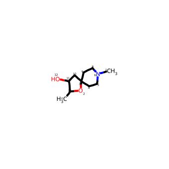 CC1OC2(CCN(C)CC2)CC1O